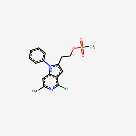 Cc1cc2c(cc(CCOS(C)(=O)=O)n2-c2ccccc2)c(Cl)n1